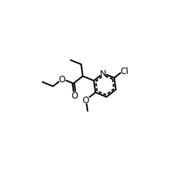 CCOC(=O)C(CC)c1nc(Cl)ccc1OC